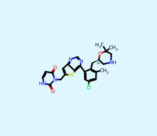 Cc1cc(Cl)cc(-c2ncnc3cc(Cn4c(=O)cc[nH]c4=O)sc23)c1C[C@@H]1CNCC(C)(C)O1